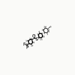 C[C@H]1CC[C@H](c2ccc(SC(=O)c3ccc(C(F)F)cc3)cc2)CC1